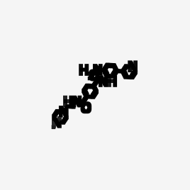 CN1CCN(CCNC(=O)c2ccc(C(=O)Nc3cc(-c4cccnc4)ccc3N)cc2)CC1